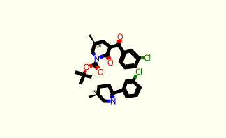 C[C@H]1CC(C(=O)c2cccc(Cl)c2)C(=O)N(C(=O)OC(C)(C)C)C1.C[C@H]1CCC(c2cccc(Cl)c2)=NC1